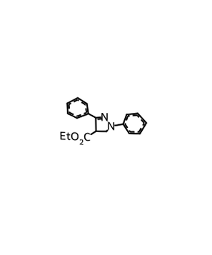 CCOC(=O)C1CN(c2ccccc2)N=C1c1ccccc1